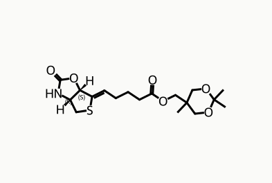 CC1(COC(=O)CCCC=C2SC[C@@H]3NC(=O)O[C@H]23)COC(C)(C)OC1